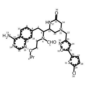 CC(C)OCCN(C=O)C(Cc1ccc2c(N)ncnc2c1)C1CN(Cc2cc(-c3ccc(Cl)s3)on2)CC(=O)N1